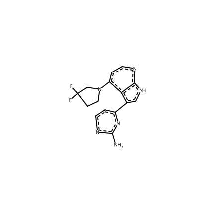 Nc1nccc(-c2c[nH]c3nccc(N4CCC(F)(F)C4)c23)n1